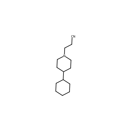 N#CCCN1CCC(C2CCCCC2)CC1